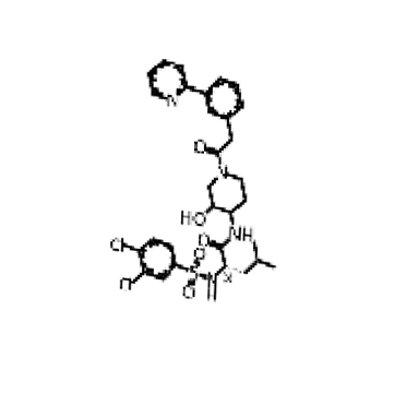 CC(C)C[C@H](NS(=O)(=O)c1ccc(Cl)c(Cl)c1)C(=O)NC1CCN(C(=O)Cc2cccc(-c3ccccn3)c2)CC1O